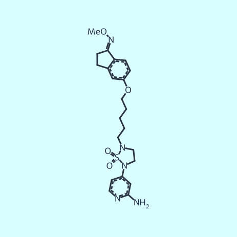 CO/N=C1\CCc2cc(OCCCCCN3CCN(c4ccnc(N)c4)S3(=O)=O)ccc21